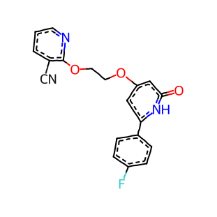 N#Cc1cccnc1OCCOc1cc(-c2ccc(F)cc2)[nH]c(=O)c1